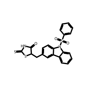 O=C1NC(=S)SC1Cc1ccc2c(c1)c1ccccc1n2S(=O)(=O)c1ccccc1